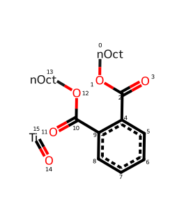 CCCCCCCCOC(=O)c1ccccc1C(=O)OCCCCCCCC.[O]=[Ti]